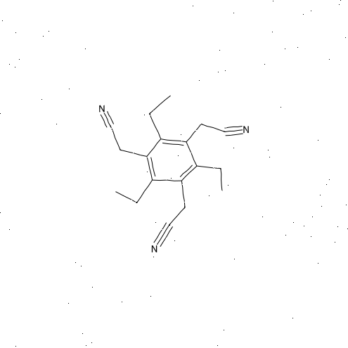 CCc1c(CC#N)c(CC)c(CC#N)c(CC)c1CC#N